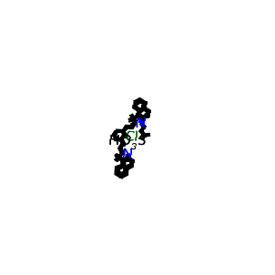 CC(CCN1C(=CC=C2CCCC(C=CC3=Nc4ccc5ccccc5c4C3(C)C)=C2Cl)C(C)(C)c2c1ccc1ccccc21)S(=O)(=O)O